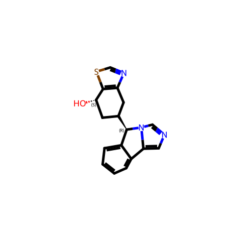 O[C@H]1CC([C@@H]2c3ccccc3-c3cncn32)Cc2ncsc21